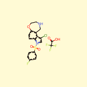 O=C(O)C(F)(F)F.O=S(=O)(c1ccc(F)cc1)n1cc(Cl)c2c3c(ccc21)OCCNC3